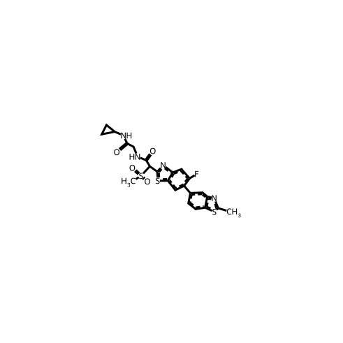 Cc1nc2cc(-c3cc4sc(C(C(=O)NCC(=O)NC5CC5)S(C)(=O)=O)nc4cc3F)ccc2s1